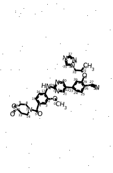 COc1cc(C(=O)N2CCS(=O)(=O)CC2)ccc1Nc1ncc(-c2ccc(C#N)c(OC(C)Cn3cncn3)c2)cn1